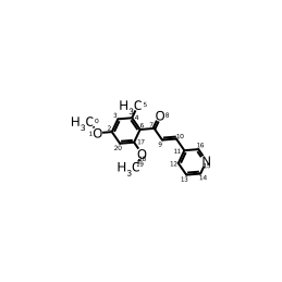 COc1cc(C)c(C(=O)/C=C/c2cccnc2)c(OC)c1